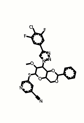 COC1C(Sc2cncc(C#N)c2)OC2COC(c3ccccc3)OC2C1n1cc(-c2cc(F)c(Cl)c(F)c2)nn1